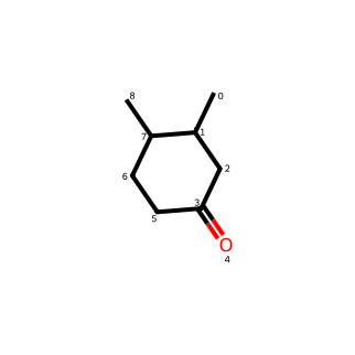 C[C]1CC(=O)CCC1C